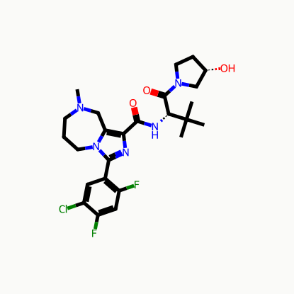 CN1CCCn2c(-c3cc(Cl)c(F)cc3F)nc(C(=O)N[C@H](C(=O)N3CC[C@H](O)C3)C(C)(C)C)c2C1